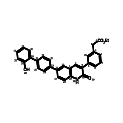 CCOC(=O)Cc1cccc(-c2cc3cc(-c4ccc(-c5ccccc5O)cc4)ccc3[nH]c2=O)c1